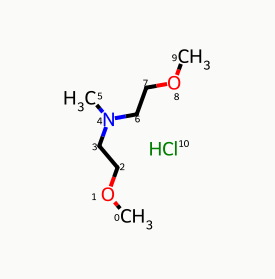 COCCN(C)CCOC.Cl